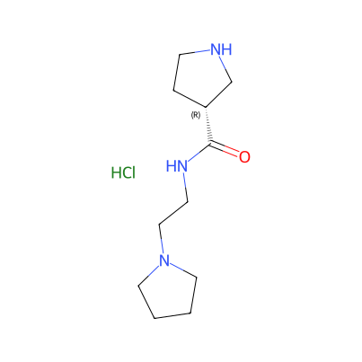 Cl.O=C(NCCN1CCCC1)[C@@H]1CCNC1